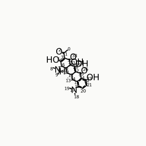 CC(=O)C1=C(O)[C@@H](N(C)C)[C@@H]2C[C@]3(C)Cc4c(N(C)C)ccc(O)c4C(=O)C3=C(O)[C@]2(O)C1=O